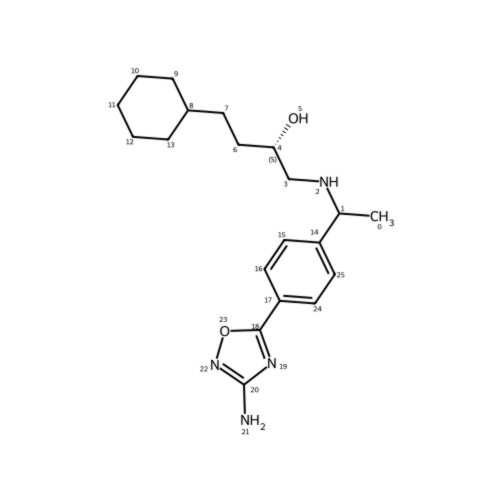 CC(NC[C@@H](O)CCC1CCCCC1)c1ccc(-c2nc(N)no2)cc1